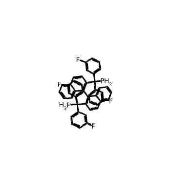 Fc1cccc(C(P)(c2cccc(F)c2)c2ccc3ccccc3c2-c2c(C(P)(c3cccc(F)c3)c3cccc(F)c3)ccc3ccccc23)c1